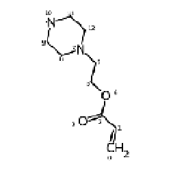 C=CC(=O)OCCN1CC[N]CC1